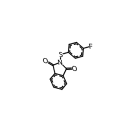 O=C1c2ccccc2C(=O)N1Sc1ccc(F)cc1